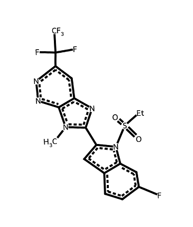 CCS(=O)(=O)n1c(-c2nc3cc(C(F)(F)C(F)(F)F)nnc3n2C)cc2ccc(F)cc21